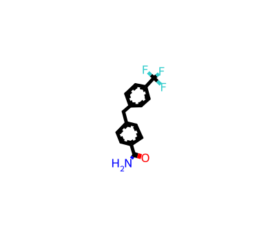 NC(=O)c1ccc(Cc2ccc(C(F)(F)F)cc2)cc1